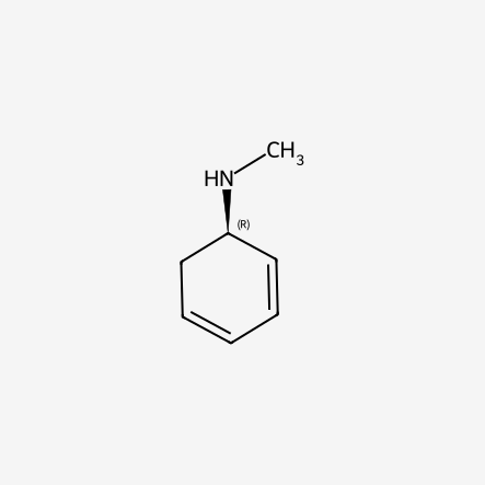 CN[C@H]1C=CC=CC1